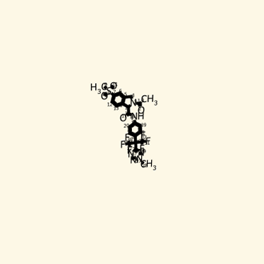 CC(=O)N1Cc2cc(S(C)(=O)=O)ccc2C1C(=O)Nc1ccc(C(c2nnn(C)n2)(C(F)(F)F)C(F)(F)F)cc1